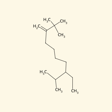 C=C(CCCCC(CC)C(C)C)C(C)(C)C